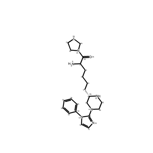 NC(CCCC[C@H]1CN(c2nccn2-c2ccccc2)CCN1)C(=O)N1CCSC1